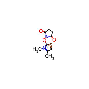 Cc1csc(ON2C(=O)CCC2=O)[n+]1C